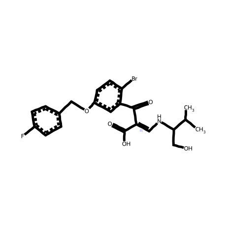 CC(C)C(CO)N/C=C(/C(=O)O)C(=O)c1cc(OCc2ccc(F)cc2)ccc1Br